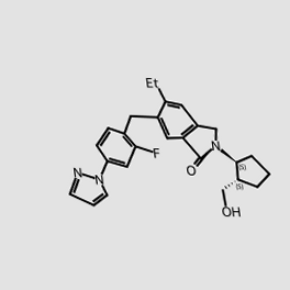 CCc1cc2c(cc1Cc1ccc(-n3cccn3)cc1F)C(=O)N([C@H]1CCC[C@@H]1CO)C2